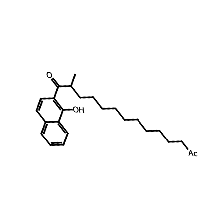 CC(=O)CCCCCCCCCCC(C)C(=O)c1ccc2ccccc2c1O